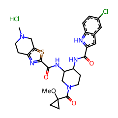 COC1(C(=O)N2CCC(NC(=O)c3cc4cc(Cl)ccc4[nH]3)C(NC(=O)c3nc4c(s3)CN(C)CC4)C2)CC1.Cl